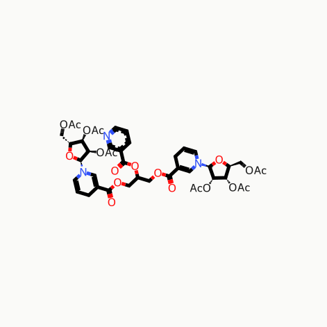 CC(=O)OC[C@@H]1O[C@H](N2C=CCC(C(=O)OCC(COC(=O)C3=CN([C@@H]4O[C@H](COC(C)=O)[C@@H](OC(C)=O)[C@H]4OC(C)=O)C=CC3)OC(=O)c3cccnc3)=C2)[C@@H](OC(C)=O)[C@H]1OC(C)=O